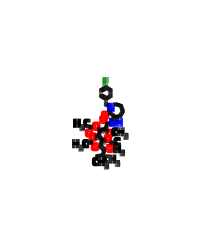 CCC(C)C=C[C@@H](OC(C)=O)[C@H](OC(C)=O)[C@@H](OC(C)=O)[C@@H](OC)C(=O)N[C@H]1CCCCN(Cc2ccc(F)cc2)C1=O